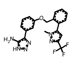 Cn1nc(C(F)(F)F)cc1-c1ccccc1COc1cccc(-c2nn[nH]c2N)c1